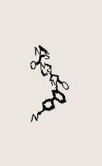 N#Cc1ccc(-c2cccc(N3CC(N4CCN(C(=O)c5nccs5)CC4)CC3=O)c2)cc1